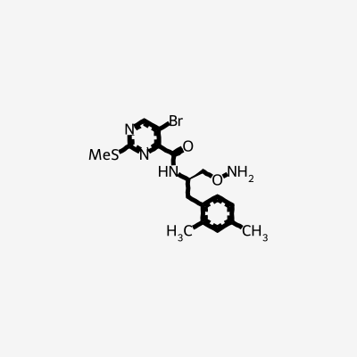 CSc1ncc(Br)c(C(=O)N[C@@H](CON)Cc2ccc(C)cc2C)n1